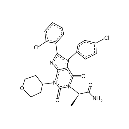 C[C@H](C(N)=O)n1c(=O)c2c(nc(-c3ccccc3Cl)n2-c2ccc(Cl)cc2)n(C2CCOCC2)c1=O